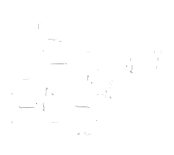 O=C1CCC(c2cc(F)cc(F)c2)=NN1Cc1cccc(-c2noc(N3CCOCC3)n2)c1